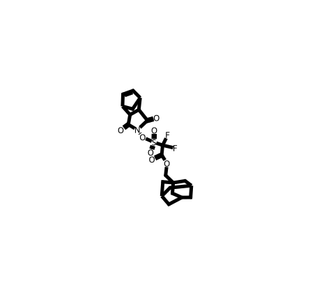 O=C1C2C3C=CC(C3)C2C(=O)N1OS(=O)(=O)C(F)(F)C(=O)OCC12CC3CC(CC(C3)C1)C2